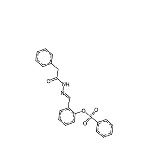 O=C(Cc1ccccc1)NN=Cc1ccccc1OS(=O)(=O)c1ccccc1